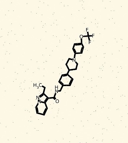 CCc1nn2ccccc2c1C(=O)NCc1ccc(C2CCN(c3ccc(OC(F)(F)F)cc3)CC2)cc1